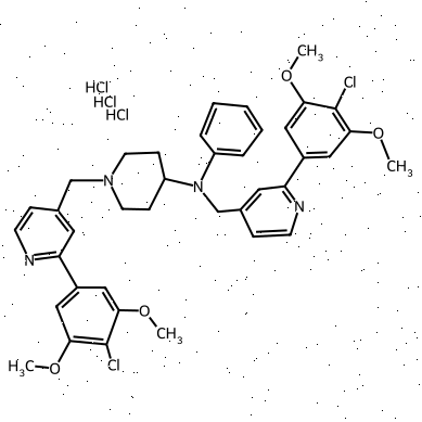 COc1cc(-c2cc(CN3CCC(N(Cc4ccnc(-c5cc(OC)c(Cl)c(OC)c5)c4)c4ccccc4)CC3)ccn2)cc(OC)c1Cl.Cl.Cl.Cl